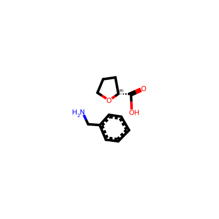 NCc1ccccc1.O=C(O)[C@H]1CCCO1